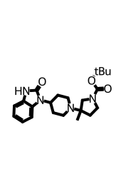 CC(C)(C)OC(=O)N1CCC(C)(N2CCC(n3c(=O)[nH]c4ccccc43)CC2)C1